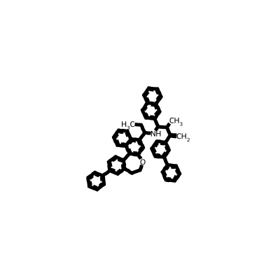 C=C(c1cccc(-c2ccccc2)c1)C(C)C(NC(CC)c1cc2c(c3ccccc13)-c1ccc(-c3ccccc3)cc1CCO2)c1ccc2ccccc2c1